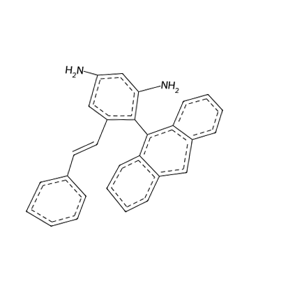 Nc1cc(N)c(-c2c3ccccc3cc3ccccc23)c(C=Cc2ccccc2)c1